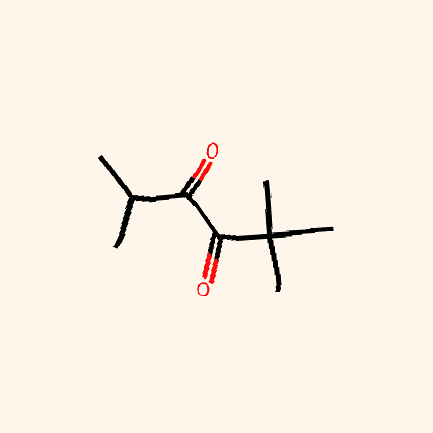 CC(C)C(=O)C(=O)C(C)(C)C